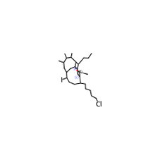 CCCC1C[C@@H](C)/C2=C\C=C3/CC(CC(C)C(C)C(C)C31)C(I)CCC2CCCCCCl